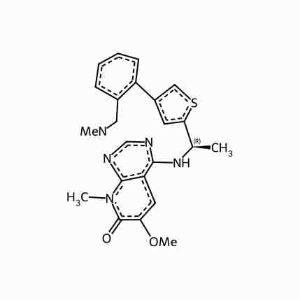 CNCc1ccccc1-c1csc([C@@H](C)Nc2ncnc3c2cc(OC)c(=O)n3C)c1